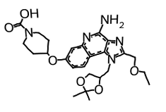 CCOCc1nc2c(N)nc3cc(OC4CCN(C(=O)O)CC4)ccc3c2n1CC1COC(C)(C)O1